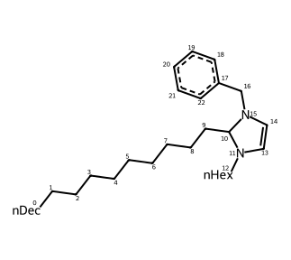 CCCCCCCCCCCCCCCCCCCC1N(CCCCCC)C=CN1Cc1ccccc1